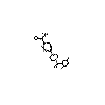 Cc1ccc(C)c(C(=O)N2CCN(c3ccc(C(=O)O)nn3)CC2)c1